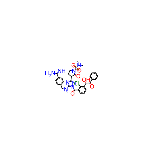 CN(Cc1ccc(C(=N)N)cc1)c1nc(C2CCN(S(=O)(=O)N(C)C)C2=O)nn1C(=O)c1cccc(C(O)C(=O)c2ccccc2)c1Cl